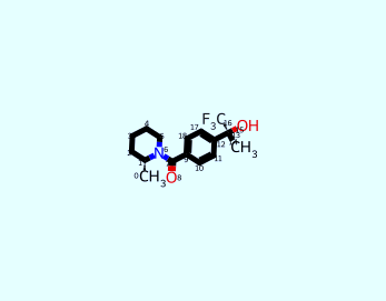 C[C@@H]1CCCCN1C(=O)c1ccc([C@](C)(O)C(F)(F)F)cc1